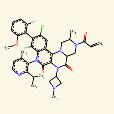 C=CC(=O)N1CC2C(=O)N(C3CN(C)C3)c3c(c4cc(Cl)c(-c5c(F)cccc5OC)c(F)c4n(-c4c(C)ccnc4C(C)C)c3=O)N2CC1C